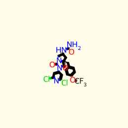 NC(=O)N[C@@H]1CN2C(=O)N(c3cc(Cl)nc(Cl)c3)C(=O)[C@@]2(Cc2ccc(OC(F)(F)F)cc2)C1